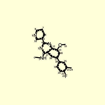 CNc1nc(-c2cccnc2)nc2c(OC)cc(-c3ccc(F)c(C)c3)cc12